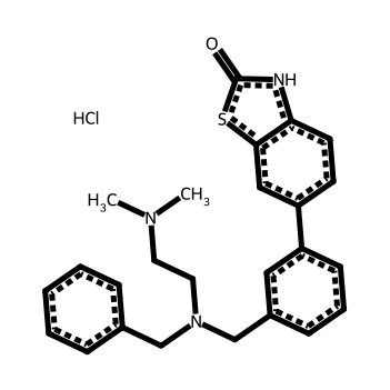 CN(C)CCN(Cc1ccccc1)Cc1cccc(-c2ccc3[nH]c(=O)sc3c2)c1.Cl